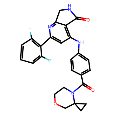 O=C1NCc2nc(-c3c(F)cccc3F)cc(Nc3ccc(C(=O)N4CCOCC45CC5)cc3)c21